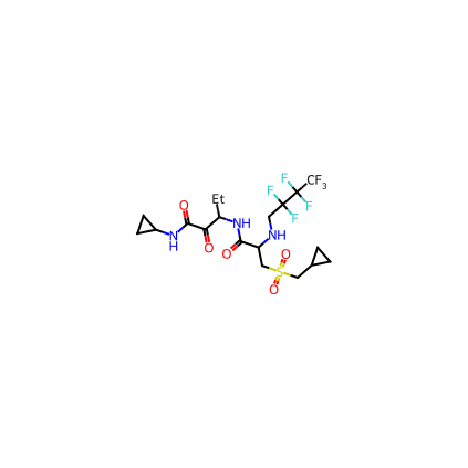 CCC(NC(=O)C(CS(=O)(=O)CC1CC1)NCC(F)(F)C(F)(F)C(F)(F)F)C(=O)C(=O)NC1CC1